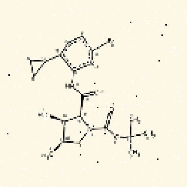 C[C@@H]1[C@H](C)CN(C(=O)OC(C)(C)C)[C@@H]1C(=O)Nc1nc(Br)ccc1C1CC1